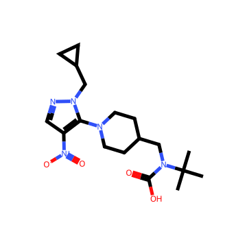 CC(C)(C)N(CC1CCN(c2c([N+](=O)[O-])cnn2CC2CC2)CC1)C(=O)O